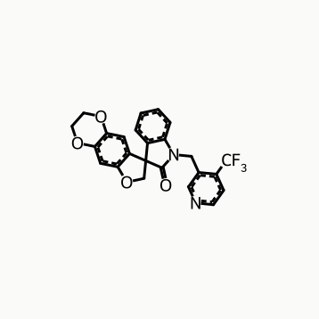 O=C1N(Cc2cnccc2C(F)(F)F)c2ccccc2C12COc1cc3c(cc12)OCCO3